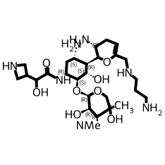 CN[C@@H]1[C@@H](O)[C@@H](O[C@@H]2[C@@H](O)[C@H](C3OC(CNCCCN)=CC[C@H]3N)[C@@H](N)C[C@H]2NC(=O)C(O)C2CNC2)OC[C@]1(C)O